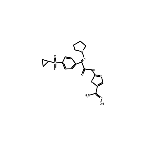 N/C(=N\O)c1cnc(NC(=O)/C(=N/N2CCCC2)c2ccc(S(=O)(=O)C3CC3)cc2)s1